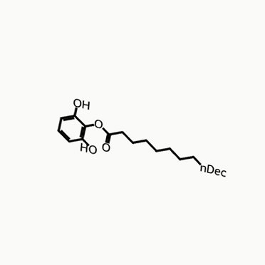 CCCCCCCCCCCCCCCCCC(=O)Oc1c(O)cccc1O